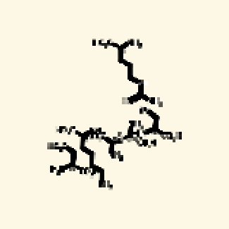 CC(C)C[C@H](N)C(=O)O.CC[C@H](C)[C@H](N)C(=O)O.N=C(N)NCCC[C@H](N)C(=O)O.NCC(=O)O.NCCCC[C@H](N)C(=O)O.N[C@@H](CC(=O)O)C(=O)O